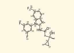 C[C@](O)(CC(=O)Nc1nc2ccc(C(F)(F)F)cc2n1-c1cc(F)cc(F)c1)C1CC1